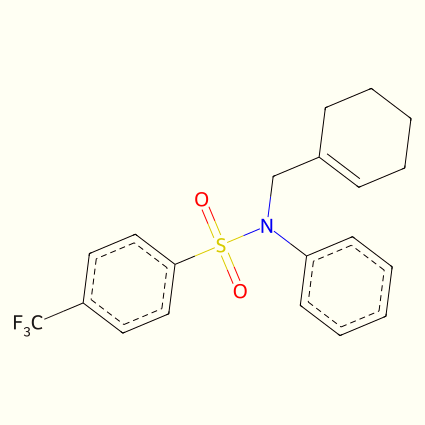 O=S(=O)(c1ccc(C(F)(F)F)cc1)N(CC1=CCCCC1)c1ccccc1